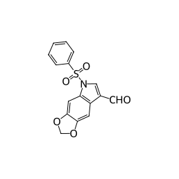 O=Cc1cn(S(=O)(=O)c2ccccc2)c2cc3c(cc12)OCO3